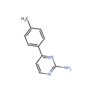 Cc1ccc(-c2c[c]nc(N)n2)cc1